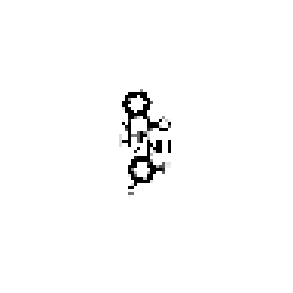 Nc1ccccc1C(=O)NNc1ccc(F)cc1F